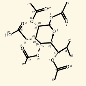 CC(=O)OC1O[C@@H]([C@@H](OC(C)=O)C(C)C)[C@H](OC(C)=O)[C@H](CC(=O)O)[C@@H]1OC(C)=O